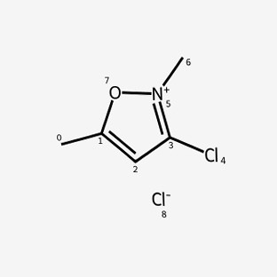 Cc1cc(Cl)[n+](C)o1.[Cl-]